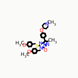 COc1ccc(CSc2nc3c(-c4ccc(OC5CCN(C)CC5)cc4)c(C)nn3c(=O)n2Cc2ccc(OC)cc2)cc1